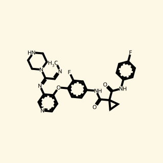 C/N=C\C(=N/c1cnccc1Oc1ccc(NC(=O)C2(C(=O)Nc3ccc(F)cc3)CC2)cc1F)N1CCNCC1